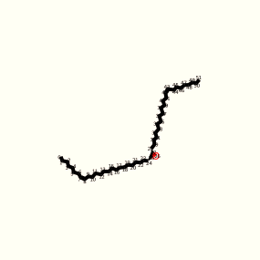 CCCCCCC/C=C\CCCCCCCCCCCCCCCC[C@H]1O[C@H]1CCCCCCCCCCCCCC/C=C\CCCCCCCC